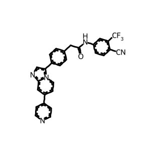 N#Cc1ccc(NC(=O)Cc2ccc(-c3cnc4cc(-c5ccncc5)ccn34)cc2)cc1C(F)(F)F